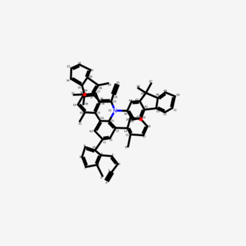 C#C/C=C\c1c(C)cccc1-c1cc(C2=C(C)C=CCC2)c(N(/C(C#C)=C/C2=C(C)c3ccccc3C2(C)C)c2ccc3c(c2)C(C)(C)c2ccccc2-3)c(-c2ccccc2C)c1